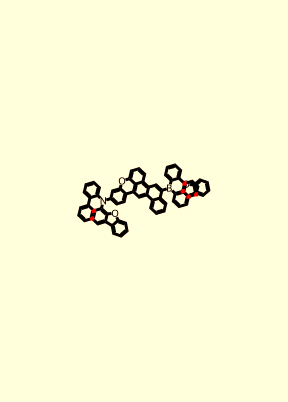 c1ccc(-c2ccccc2B(c2cc3c4cccc5c4c(cc3c3ccccc23)-c2ccc(N(c3ccccc3-c3ccccc3)c3cccc4c3oc3ccccc34)cc2O5)c2cccc3c2oc2ccccc23)cc1